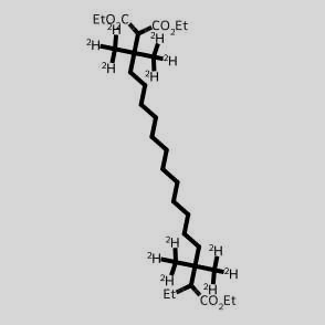 [2H]C([2H])([2H])C(CCCCCCCCCCCCC(C(C(=O)OCC)C(=O)OCC)(C([2H])([2H])[2H])C([2H])([2H])[2H])(C(CC)C(=O)OCC)C([2H])([2H])[2H]